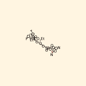 CCOC(=O)[C@](CC)(CCOCCOCCOCCNC(=O)c1ccc2c(c1)C(=O)OC21c2ccc(N(C)C)cc2Oc2cc(N(C)C)ccc21)NC(=O)c1ccc(C2CC2)c(Cc2ccc(F)cc2)n1